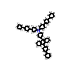 c1ccc(-c2ccc(-c3ccc(N(c4ccc(-c5ccc(-c6ccccc6)cc5)cc4)c4ccc(-c5c6c(c(-c7ccc(-c8ccccc8)cc7)c7c5CCCC7)CCCC6)cc4)cc3)cc2)cc1